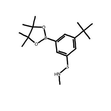 CNSc1cc(B2OC(C)(C)C(C)(C)O2)cc(C(C)(C)C)c1